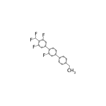 CCc1ccc(-c2ccc(-c3cc(F)c(C(F)F)c(F)c3)c(F)c2)cc1